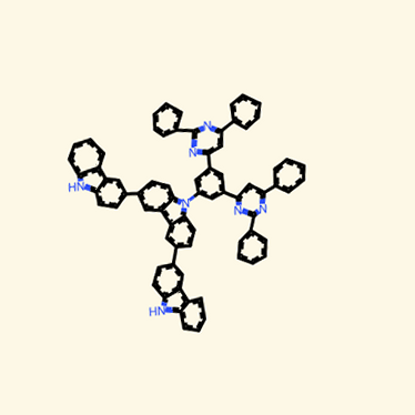 c1ccc(-c2cc(-c3cc(-c4cc(-c5ccccc5)nc(-c5ccccc5)n4)cc(-n4c5ccc(-c6ccc7[nH]c8ccccc8c7c6)cc5c5cc(-c6ccc7[nH]c8ccccc8c7c6)ccc54)c3)nc(-c3ccccc3)n2)cc1